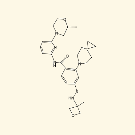 C[C@@H]1CN(c2cccc(NC(=O)c3ccc(SNC4(C)COC4)cc3N3CCC4(CC3)CC4)n2)CCO1